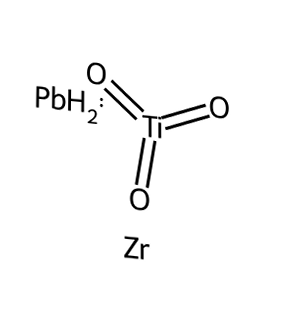 [O]=[Ti](=[O])=[O].[PbH2].[Zr]